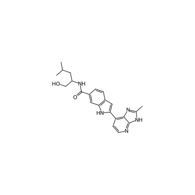 Cc1nc2c(-c3cc4ccc(C(=O)NC(CO)CC(C)C)cc4[nH]3)ccnc2[nH]1